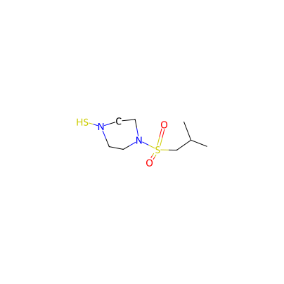 CC(C)CS(=O)(=O)N1CCN(S)CC1